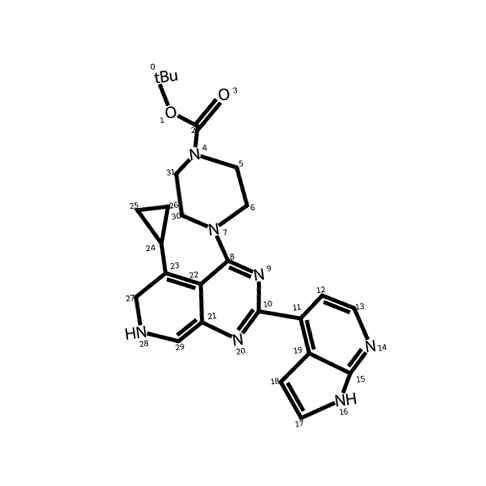 CC(C)(C)OC(=O)N1CCN(c2nc(-c3ccnc4[nH]ccc34)nc3c2=C(C2CC2)CNC=3)CC1